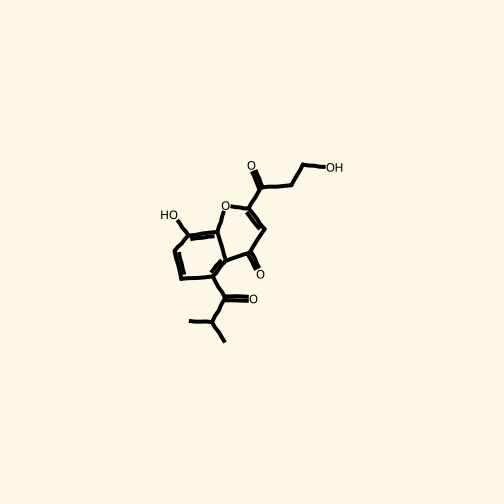 CC(C)C(=O)c1ccc(O)c2oc(C(=O)CCO)cc(=O)c12